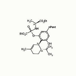 C=C(C)[C@@H]1CCC(C)=C[C@H]1c1c(O)cc(CCCCC)cc1OP(=O)(N[C@@H](C)C(=O)OCC)C(=O)OCC